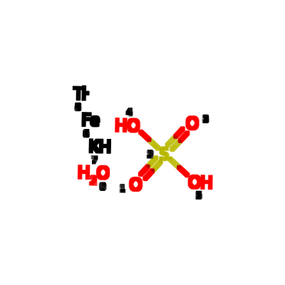 O.O=S(=O)(O)O.[Fe].[KH].[Tl]